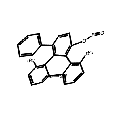 CC(C)(C)c1cccc(C(C)(C)C)c1-c1c(OP=O)ccc(-c2ccccc2)c1-c1c(C(C)(C)C)cccc1C(C)(C)C